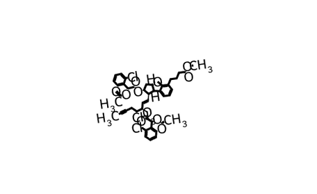 CC#CC[C@H](C)[C@@H](/C=C/[C@@H]1[C@H]2c3cccc(CCCC(=O)OC)c3O[C@H]2C[C@H]1OC(=O)C(OC(C)=O)c1ccccc1Cl)OC(=O)C(OC(C)=O)c1ccccc1Cl